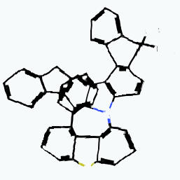 CC1(C)c2ccccc2-c2c1ccc1c2c2ccccc2n1-c1cccc2sc3cccc(-c4cccc5c4-c4ccccc4C5)c3c12